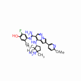 CCc1cc(O)c(F)cc1N=C(N)c1cnn2cc(-c3ccc(OC)nc3)cc2c1N[C@@H]1CCC(C)(N)C1(C)C